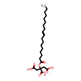 CCCCCCCCC=CCCCCCCCC(=O)OC(CC(=O)O)(CC(=O)O)C(=O)O